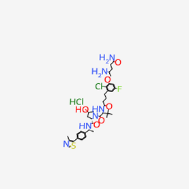 Cc1ncsc1-c1ccc([C@H](C)NC(=O)[C@@H]2C[C@@H](O)CN2C(=O)[C@@H](NC(=O)CCCc2cc(F)cc(OC[C@@H](N)CCC(N)=O)c2Cl)C(C)(C)C)cc1.Cl